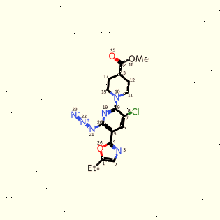 CCc1cnc(-c2cc(Cl)c(N3CCC(C(=O)OC)CC3)nc2N=[N+]=[N-])o1